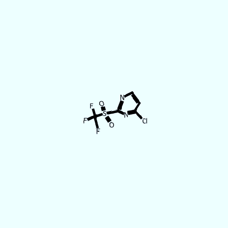 O=S(=O)(c1nccc(Cl)n1)C(F)(F)F